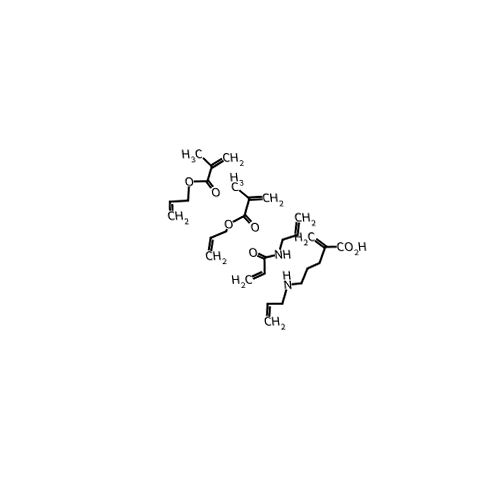 C=CCNC(=O)C=C.C=CCNCCCC(=C)C(=O)O.C=CCOC(=O)C(=C)C.C=CCOC(=O)C(=C)C